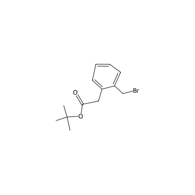 CC(C)(C)OC(=O)Cc1ccccc1CBr